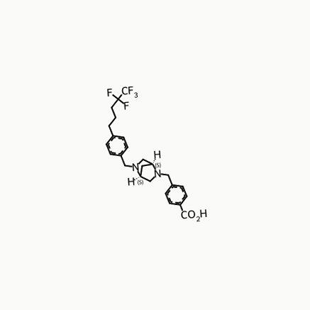 O=C(O)c1ccc(CN2C[C@@H]3C[C@H]2CN3Cc2ccc(CCCC(F)(F)C(F)(F)F)cc2)cc1